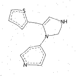 C1=C(c2cccs2)N(c2ccncc2)CN1